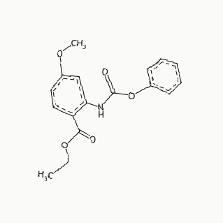 CCOC(=O)c1ccc(OC)cc1NC(=O)Oc1ccccc1